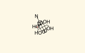 CCc1cc(C#N)ccc1C(CC)(C(CC)(C(=O)O)C(=O)O)C(CC)(C(=O)O)C(=O)O